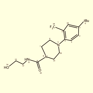 CC(C)(C)c1ccc(N2CCN(C(=O)NCCO)CC2)c(C(F)(F)F)c1